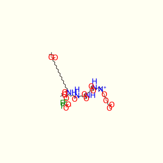 COC(=O)CCOCCOCC[N+](C)(C)CCNS(=O)(=O)CCCNS(=O)(=O)CCCNC(=O)CC[C@H](NC(=O)CCCCCCCCCCCCCCCCC(=O)OC(C)(C)C)C(=O)OC(C)(C)C.O=C([O-])C(F)(F)F